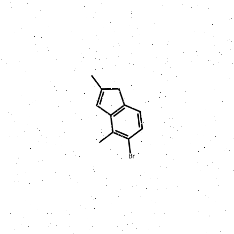 CC1=Cc2c(ccc(Br)c2C)C1